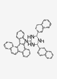 c1ccc2cc(C3NC(c4ccc5ccccc5c4)NC(n4c5ccccc5c5c6c7ccccc7ccc6c6ccccc6c54)N3)ccc2c1